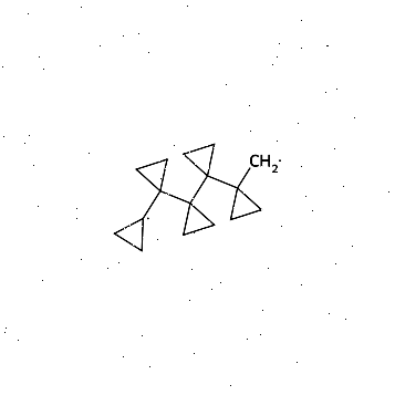 [CH2]C1(C2(C3(C4([C]5CC5)CC4)CC3)CC2)CC1